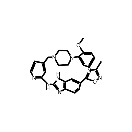 COc1ccccc1N1CCN(Cc2ccnc(Nc3nc4ccc(-c5nc(C)no5)cc4[nH]3)c2)CC1